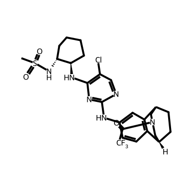 CS(=O)(=O)N[C@@H]1CCCC[C@H]1Nc1nc(Nc2ccc3c(c2)C2CC[C@H]3CN(C(=O)C(F)(F)F)C2)ncc1Cl